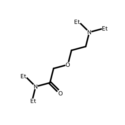 CCN(CC)CCOCC(=O)N(CC)CC